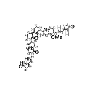 COc1c(CNCC2CCC(=O)N2)ccc2nc(-c3cccc(-c4cccc(-c5ccn6c(=O)c(CNCC7CCC(=O)N7)cnc6c5)c4Cl)c3Cl)ccc12